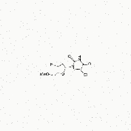 COCC1OC(n2cc(Cl)c(=O)[nH]c2=O)CC1F